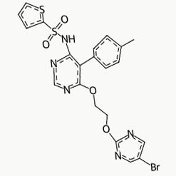 Cc1ccc(-c2c(NS(=O)(=O)c3cccs3)ncnc2OCCOc2ncc(Br)cn2)cc1